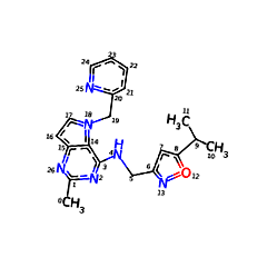 Cc1nc(NCc2cc(C(C)C)on2)c2c(ccn2Cc2ccccn2)n1